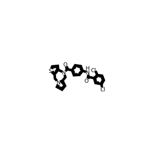 O=C(Nc1ccc(C(=O)N2Cc3cccn3Cc3sccc32)cc1)c1cc(Cl)ccc1Cl